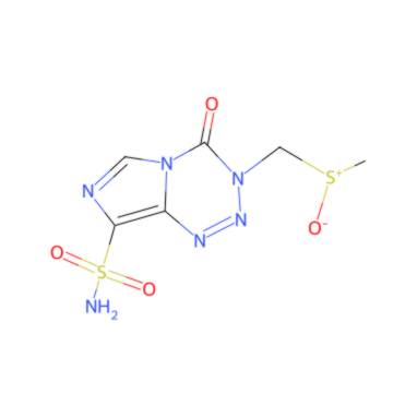 C[S+]([O-])Cn1nnc2c(S(N)(=O)=O)ncn2c1=O